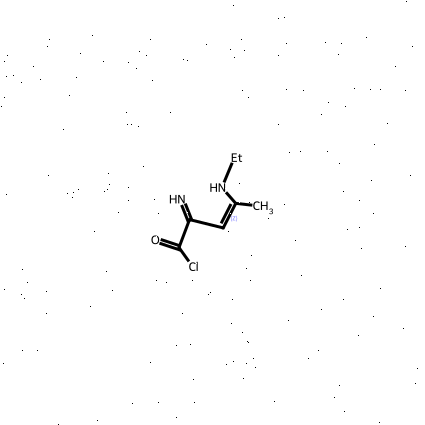 CCN/C(C)=C\C(=N)C(=O)Cl